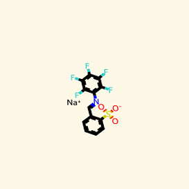 O=S(=O)([O-])c1ccccc1C=Nc1c(F)c(F)c(F)c(F)c1F.[Na+]